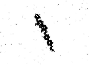 CCCc1ccc(-c2ccc(CCc3ccc4c(oc5c(F)c(OC6CCCC6)ccc54)c3F)cc2)cc1